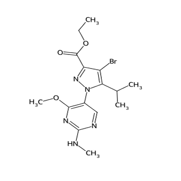 CCOC(=O)c1nn(-c2cnc(NC)nc2OC)c(C(C)C)c1Br